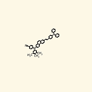 Cc1cc(N(c2ccc(C#N)cc2)c2ccc3c(ccc4cc(/C=C/c5ccc(N(c6ccccc6)c6ccccc6)cc5)ccc43)c2)cc(C)c1C